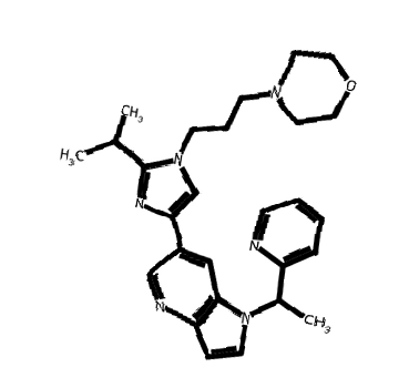 CC(C)c1nc(-c2cnc3ccn(C(C)c4ccccn4)c3c2)cn1CCCN1CCOCC1